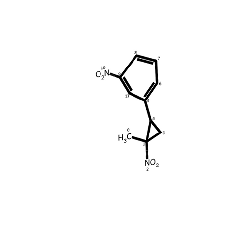 CC1([N+](=O)[O-])CC1c1cccc([N+](=O)[O-])c1